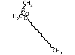 C=CCOCC(=C)C(=O)OCCCCCCCCCCCCCCCCCC